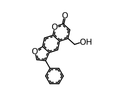 O=c1cc(CO)c2cc3c(-c4ccccc4)coc3cc2o1